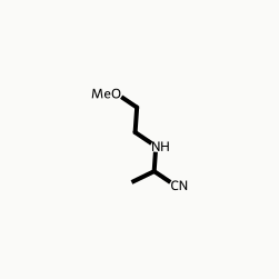 COCCNC(C)C#N